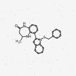 CC1CC(=O)Nc2cccc(-c3cc4ccccc4n3SCc3ccccc3)c2N1